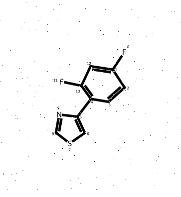 Fc1ccc(-c2cs[c]n2)c(F)c1